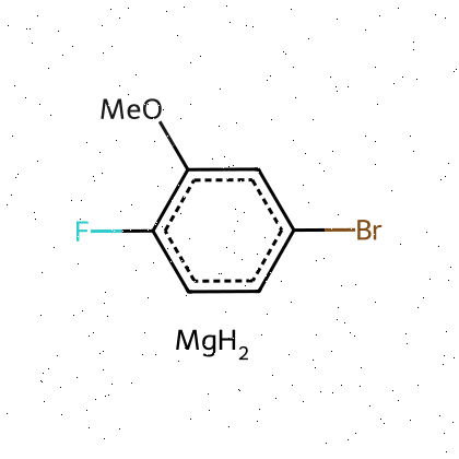 COc1cc(Br)ccc1F.[MgH2]